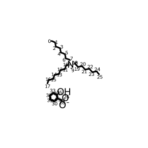 CCCCCCCC[N+](C)(CCCCCCCC)CCCCCCCC.O=C([O-])c1ccccc1O